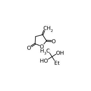 C=C1CC(=O)OC1=O.[CH2]CC(C)(O)O